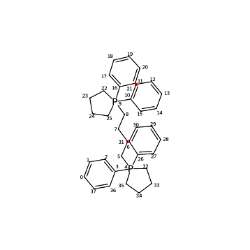 c1ccc(P2(CCCCP3(c4ccccc4)(c4ccccc4)CCCC3)(c3ccccc3)CCCC2)cc1